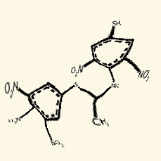 CC(Nc1c([N+](=O)[O-])cc(S)cc1[N+](=O)[O-])Sc1cc([N+](=O)[O-])c(N)c([N+](=O)[O-])c1